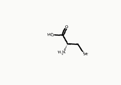 N[C@@H](C[Se])C(=O)O